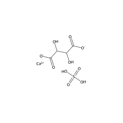 O=C([O-])C(O)C(O)C(=O)[O-].O=S(=O)(O)O.[Ca+2]